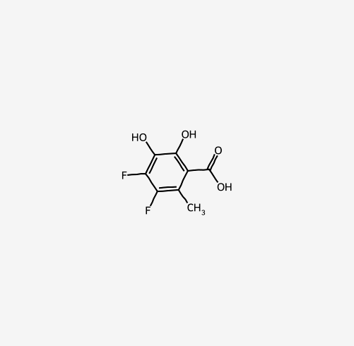 Cc1c(F)c(F)c(O)c(O)c1C(=O)O